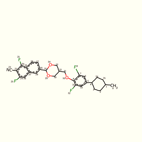 CC1CCC(c2cc(F)c(OCC3COC(c4ccc5c(F)c(C#N)c(F)cc5c4)OC3)c(F)c2)CC1